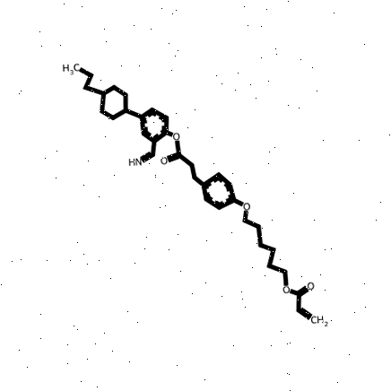 C=CC(=O)OCCCCCCOc1ccc(CCC(=O)Oc2ccc(C3CCC(CCC)CC3)cc2C=N)cc1